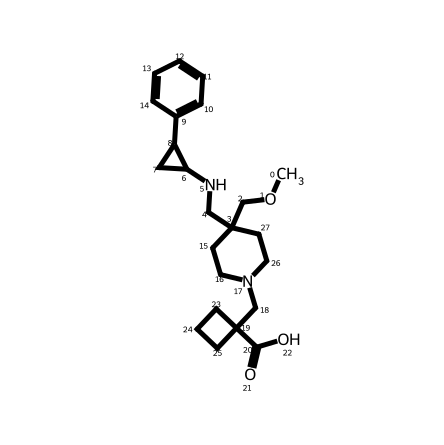 COCC1(CNC2CC2c2ccccc2)CCN(CC2(C(=O)O)CCC2)CC1